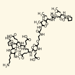 CSC[C@H](NC(=O)CNC(=O)[C@H](CC(C)C)NC(=O)[C@@H]1CCCN1)C(=O)N[C@@H](C)C(=O)NCC(=O)NCCOCC(=O)N[C@H](CCC(=O)O)C(=O)N[C@H](CCC(=O)O)CN[C@H](CCC(=O)O)C(=O)N[C@H](CCC(=O)O)C(=O)N[C@H](CCC(=O)O)C(=O)N[C@H](CCCCN)C(N)=O